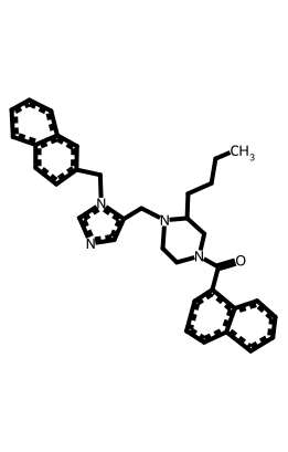 CCCCC1CN(C(=O)c2cccc3ccccc23)CCN1Cc1cncn1Cc1ccc2ccccc2c1